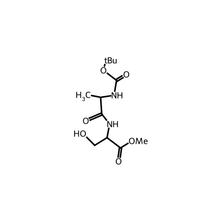 COC(=O)C(CO)NC(=O)C(C)NC(=O)OC(C)(C)C